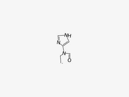 [CH2]CN(C=O)c1c[nH]cn1